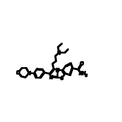 CCN(CC)CCCc1c(-c2ccc(N3CCOCC3)cc2)nc2sc3cc(C(N)=O)ccc3n12